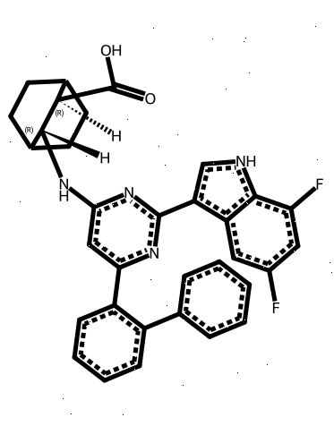 O=C(O)[C@@H]1C2CCC(CC2)[C@H]1Nc1cc(-c2ccccc2-c2ccccc2)nc(-c2c[nH]c3c(F)cc(F)cc23)n1